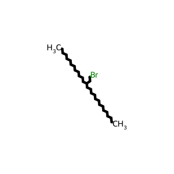 CCCCCCCCCCCCCCC(CCBr)CCCCCCCCCCCCC